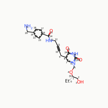 CC[C@@H](CO)OCn1cc(CC#CCNC(=O)c2ccc(CN)cc2)c(=O)[nH]c1=O